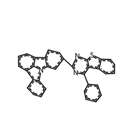 c1ccc(-c2nc(-c3ccc4c5cccc6c7ccccc7n(c4c3)c65)nc3sc4ccccc4c23)cc1